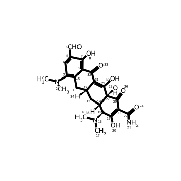 CN(C)c1cc(C=O)c(O)c2c1C[C@H]1C[C@H]3[C@H](N(C)C)C(O)=C(C(N)=O)C(=O)[C@@]3(O)C(O)=C1C2=O